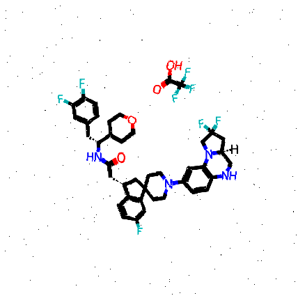 O=C(C[C@@H]1CC2(CCN(c3ccc4c(c3)N3CC(F)(F)C[C@H]3CN4)CC2)c2cc(F)ccc21)N[C@H](Cc1ccc(F)c(F)c1)C1CCOCC1.O=C(O)C(F)(F)F